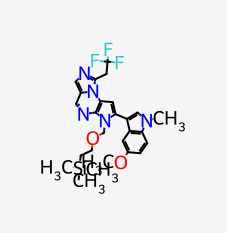 COc1ccc2c(c1)c(-c1cc3c(ncc4cnc(CC(F)(F)F)n43)n1COCC[Si](C)(C)C)cn2C